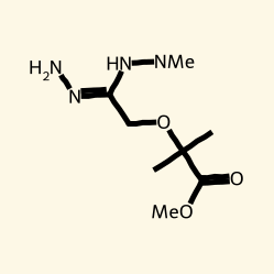 CNN/C(COC(C)(C)C(=O)OC)=N\N